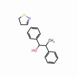 C1=NSCC1.CC(c1ccccc1)C(O)c1ccccc1